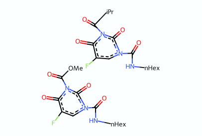 CCCCCCNC(=O)n1cc(F)c(=O)n(C(=O)C(C)C)c1=O.CCCCCCNC(=O)n1cc(F)c(=O)n(C(=O)OC)c1=O